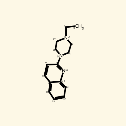 CCN1CCN(c2ccc3ccccc3n2)CC1